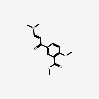 COC(=O)c1cc(C(=O)/C=C/N(C)C)ccc1OC